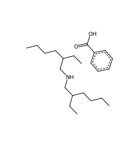 CCCCC(CC)CNCC(CC)CCCC.O=C(O)c1ccccc1